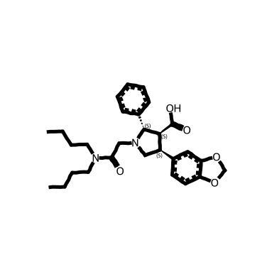 CCCCN(CCCC)C(=O)CN1C[C@H](c2ccc3c(c2)OCO3)[C@H](C(=O)O)[C@H]1c1ccccc1